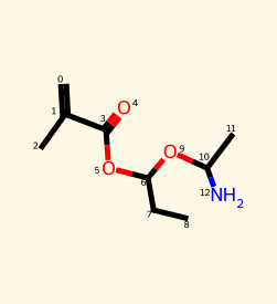 C=C(C)C(=O)OC(CC)OC(C)N